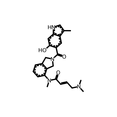 Cc1c[nH]c2cc(O)c(C(=O)N3Cc4cccc(N(C)C(=O)/C=C/CN(C)C)c4C3)cc12